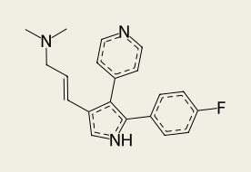 CN(C)CC=Cc1c[nH]c(-c2ccc(F)cc2)c1-c1ccncc1